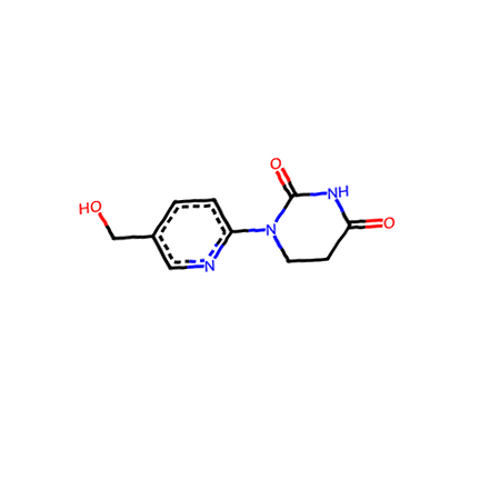 O=C1CCN(c2ccc(CO)cn2)C(=O)N1